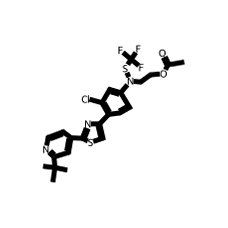 CC(=O)OCCN(SC(F)(F)F)c1ccc(-c2csc(-c3ccnc(C(C)(C)C)c3)n2)c(Cl)c1